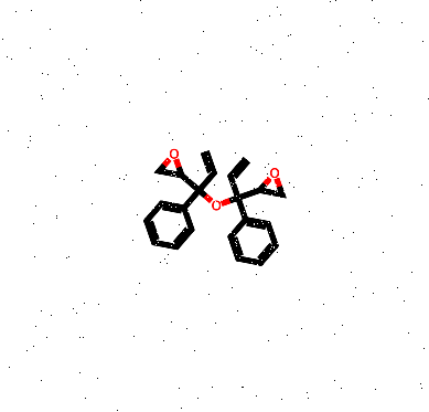 C=CC(OC(C=C)(c1ccccc1)C1CO1)(c1ccccc1)C1CO1